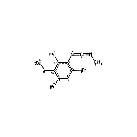 CN=C=Nc1c(C(C)C)cc(C(C)C)c(CC(C)(C)C)c1C(C)C